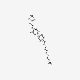 CCCCCCCCCCc1cnc(-c2ccc(OCCC(F)CC)c(F)c2)nc1